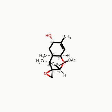 CC(=O)O[C@@H]1C[C@]2(C)[C@@]3(C)C[C@H](O)C(C)=C[C@H]3O[C@H]1[C@@]21CO1